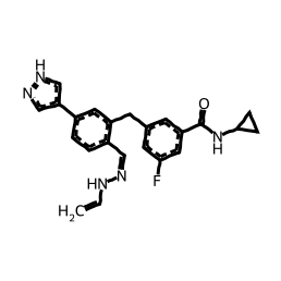 C=CN/N=C\c1ccc(-c2cn[nH]c2)cc1Cc1cc(F)cc(C(=O)NC2CC2)c1